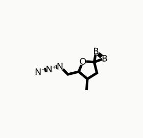 CC1CC2(B=B2)OC1CN=[N+]=[N-]